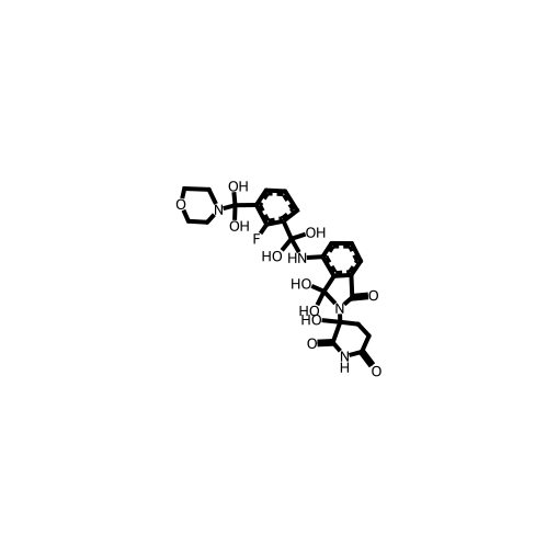 O=C1CCC(O)(N2C(=O)c3cccc(NC(O)(O)c4cccc(C(O)(O)N5CCOCC5)c4F)c3C2(O)O)C(=O)N1